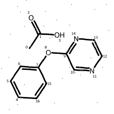 CC(=O)O.c1ccc(Oc2cnccn2)cc1